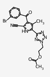 CC(=O)OCCn1nnc(-c2[nH]c(C#N)c(C(=O)c3cccc(Br)c3)c2C)n1